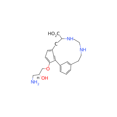 NC[C@@H](O)COc1ccc2cc1-c1cccc(c1)CCNCCNC(C(=O)O)C2